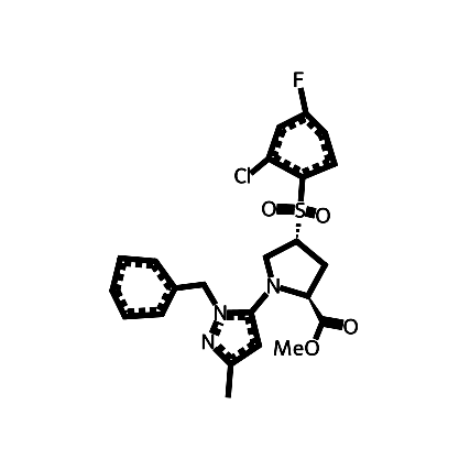 COC(=O)[C@@H]1C[C@@H](S(=O)(=O)c2ccc(F)cc2Cl)CN1c1cc(C)nn1Cc1ccccc1